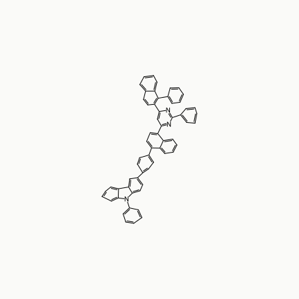 c1ccc(-c2nc(-c3ccc4ccccc4c3-c3ccccc3)cc(-c3ccc(-c4ccc(-c5ccc6c(c5)c5ccccc5n6-c5ccccc5)cc4)c4ccccc34)n2)cc1